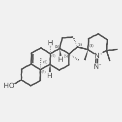 CC1(C)CCC[C@@](C)([C@H]2CC[C@H]3[C@@H]4CC=C5CC(O)CC[C@]5(C)[C@H]4CC[C@@]32C)[N+]1=[N-]